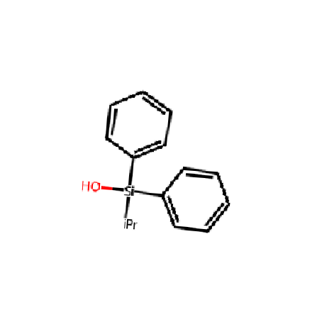 CC(C)[Si](O)(c1ccccc1)c1ccccc1